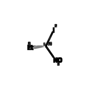 CC[C@H](I)N=O